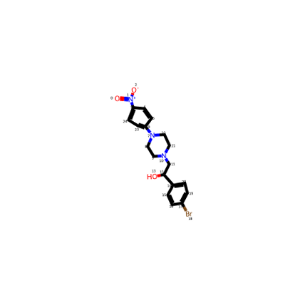 O=[N+]([O-])c1ccc(N2CCN(CC(O)c3ccc(Br)cc3)CC2)cc1